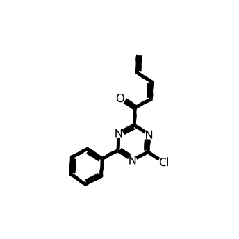 C=C/C=C\C(=O)c1nc(Cl)nc(-c2ccccc2)n1